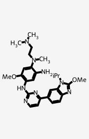 COc1cc(N(C)CCN(C)C)c(N)cc1Nc1nccc(-c2ccc3nc(OC)n(C(C)C)c3c2)n1